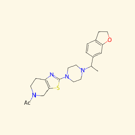 CC(=O)N1CCc2nc(N3CCN(C(C)c4ccc5c(c4)OCC5)CC3)sc2C1